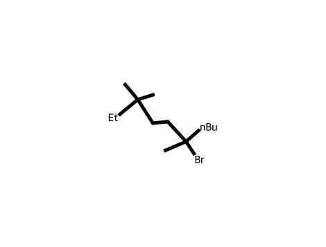 CCCCC(C)(Br)CCC(C)(C)CC